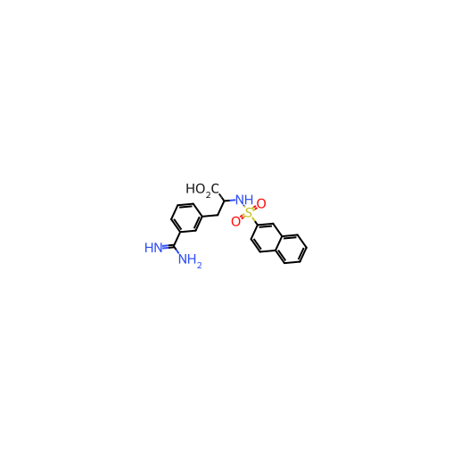 N=C(N)c1cccc(CC(NS(=O)(=O)c2ccc3ccccc3c2)C(=O)O)c1